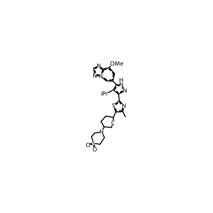 COc1cc(-c2[nH]nc(-c3nc(C)c(C4CCC(N5CCS(=O)(=O)CC5)CC4)s3)c2C(C)C)cn2ncnc12